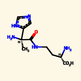 C[C@@](N)(C(=O)NCC[C@H](N)C(=O)O)c1cnc[nH]1